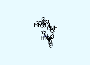 Cc1cccc(/C=N/Nc2cc(N3CCOCC3)nc(OCCc3ccc(NC(=O)CNc4cccc5c4C(=O)N(C4CCC(=O)NC4=O)C5=O)cc3)n2)c1